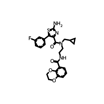 Nc1nc(C(=O)N(CCNC(=O)c2cccc3c2OCCO3)CC2CC2)c(-c2cccc(F)c2)s1